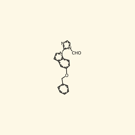 O=Cn1ccnc1-n1ccc2cc(OCc3ccccc3)ccc21